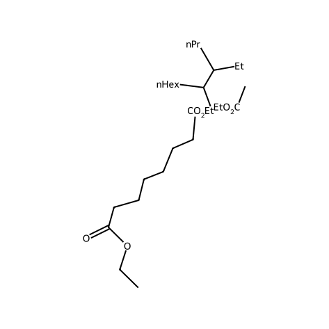 CCCCCCC(C(=O)OCC)C(CC)CCC.CCCCCCCC(=O)OCC.CCOC(C)=O